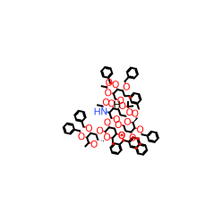 CC(=O)NC1[C@H](OC2[C@H](OC3[C@H](C)OC(C)[C@H](OCc4ccccc4)[C@@H]3OCc3ccccc3)OC(C)[C@H](OCc3ccccc3)[C@@H]2O[C@H]2O[C@@H](COCc3ccccc3)[C@@H](OCc3ccccc3)C(OCc3ccccc3)C2OCc2ccccc2)OC2COC(C)(C)O[C@H]2[C@@H]1O[C@@H]1OC(C)[C@H](OCc2ccccc2)[C@H](OCc2ccccc2)C1OC(C)=O